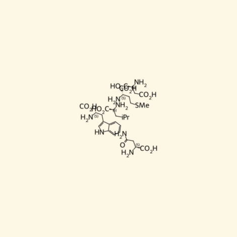 CC(C)C[C@H](N)C(=O)O.CSCC[C@H](N)C(=O)O.NC(=O)C[C@H](N)C(=O)O.N[C@@H](CC(=O)O)C(=O)O.N[C@@H](Cc1c[nH]c2ccccc12)C(=O)O